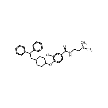 CN(C)CCNC(=O)c1ccc(OC2CCN(CC(c3ccccc3)c3ccccc3)CC2)c(Cl)c1